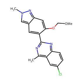 COCOc1cc2nn(C)cc2cc1-c1nc(C)c2cc(Cl)ccc2n1